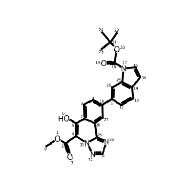 COC(=O)c1c(O)c2ccc(-c3ccc4ccn(C(=O)OC(C)(C)C)c4c3)cc2c2ncnn12